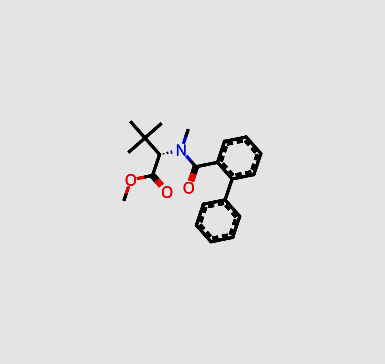 COC(=O)[C@@H](N(C)C(=O)c1ccccc1-c1ccccc1)C(C)(C)C